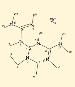 CCN(CC)[S+](N(C)C(=NC)N(C)C)N(C)C(=NC)N(C)C.[Br-]